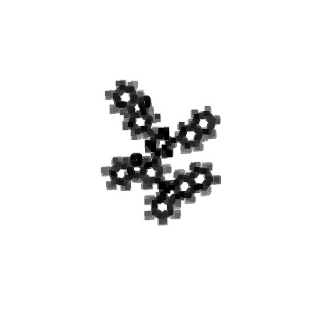 c1ccc2cc(-c3nc(-c4ccc5c(c4)oc4ccccc45)nc(-c4cc(-n5c6ccccc6c6cc7ccccc7cc65)cc5c4oc4ccccc45)n3)ccc2c1